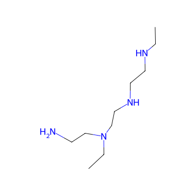 CCNCCNCCN(CC)CCN